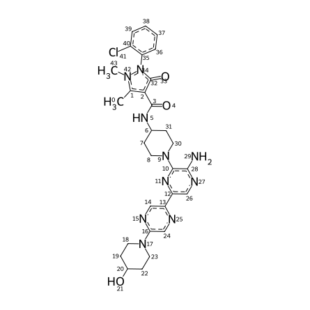 Cc1c(C(=O)NC2CCN(c3nc(-c4cnc(N5CCC(O)CC5)cn4)cnc3N)CC2)c(=O)n(-c2ccccc2Cl)n1C